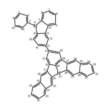 c1ccc(-n2c3ccccc3c3cc(-c4cc5c6cc7ccccc7cc6n6c7cc8ccccc8cc7c(c4)c56)ccc32)cc1